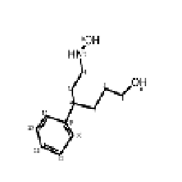 OCCCC(CCNO)c1ccccc1